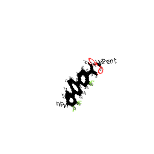 CCCCCC1OCC(c2ccc(-c3ccc(-c4ccc(CCC)c(F)c4F)cc3)cc2F)CO1